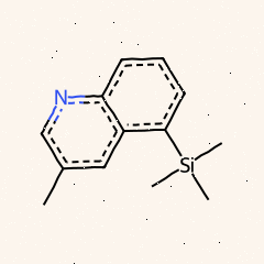 Cc1cnc2cccc([Si](C)(C)C)c2c1